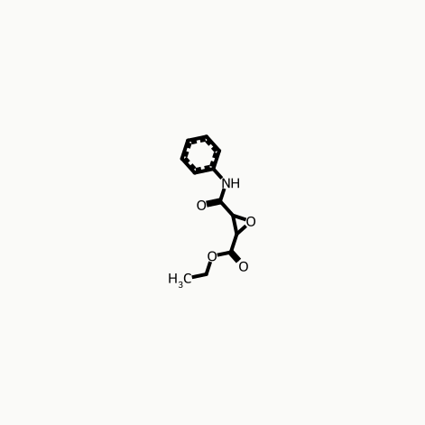 CCOC(=O)C1OC1C(=O)Nc1ccccc1